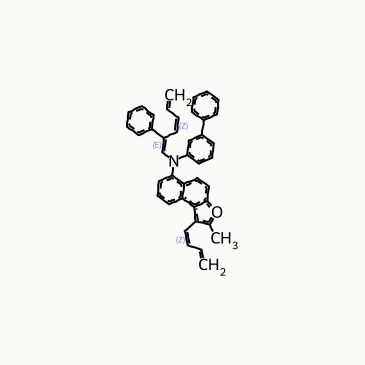 C=C/C=C\C(=C/N(c1cccc(-c2ccccc2)c1)c1cccc2c1ccc1oc(C)c(/C=C\C=C)c12)c1ccccc1